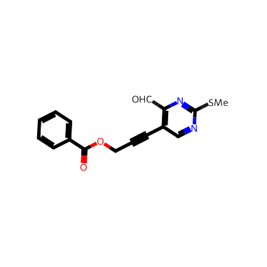 CSc1ncc(C#CCOC(=O)c2ccccc2)c(C=O)n1